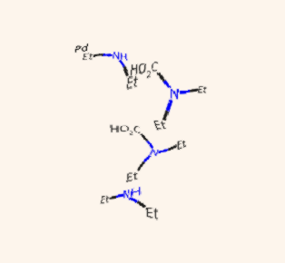 CCN(CC)C(=O)O.CCN(CC)C(=O)O.CCNCC.CCNCC.[Pd]